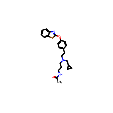 CC(=O)NCCCN(CCc1ccc(Oc2nc3ccccc3s2)cc1)CC1CC1